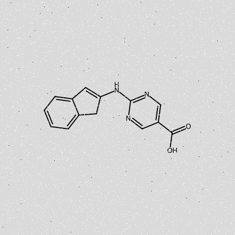 O=C(O)c1cnc(NC2=Cc3ccccc3C2)nc1